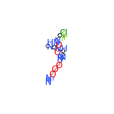 [N-]=[N+]=NCCOCCOCCOCCc1cn(Cc2cccc(C(=O)Nc3ccc(N4CCCCC4)cc3C(=O)NN=Cc3ccc(Cl)c(C(F)(F)F)c3)c2)nn1